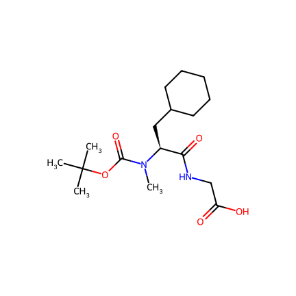 CN(C(=O)OC(C)(C)C)[C@@H](CC1CCCCC1)C(=O)NCC(=O)O